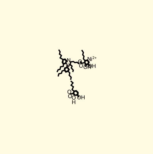 CCCCCc1cc(CCCCC)cc(N=C(CCCC)C(CCCC)=Nc2cc(CCCC)cc(CCCC)c2)c1.CCCCCc1ccc(O)c(O)c1C(=O)[O-].CCCCCc1ccc(O)c(O)c1C(=O)[O-].[Ni+2]